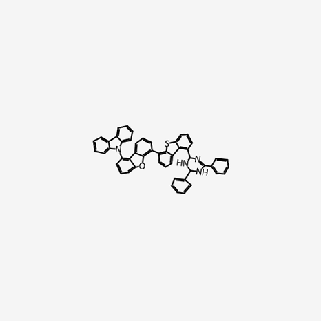 c1ccc(C2=NC(c3cccc4sc5c(-c6cccc7c6oc6cccc(-n8c9ccccc9c9ccccc98)c67)cccc5c34)NC(c3ccccc3)N2)cc1